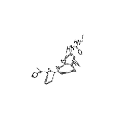 CCNC(=O)Nc1cnc2ccc(C3CC=C(C(C)=O)S3)nc2n1